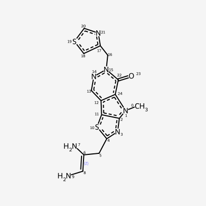 Cn1c2nc(C/C(N)=C/N)sc2c2cnn(Cc3cscn3)c(=O)c21